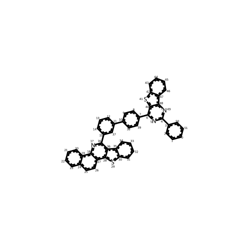 c1ccc(-c2nc(-c3ccc(-c4cccc(-c5nc6c7ccccc7ccc6c6sc7ccccc7c56)c4)cc3)c3sc4ccccc4c3n2)cc1